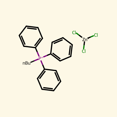 CCCC[P+](c1ccccc1)(c1ccccc1)c1ccccc1.[Cl][Zn-]([Cl])[Cl]